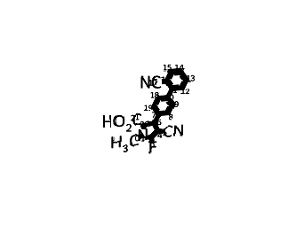 CN1C(F)=C(C#N)C(c2ccc(-c3ccccc3C#N)cc2)C1C(=O)O